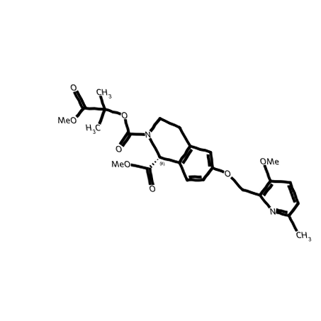 COC(=O)[C@H]1c2ccc(OCc3nc(C)ccc3OC)cc2CCN1C(=O)OC(C)(C)C(=O)OC